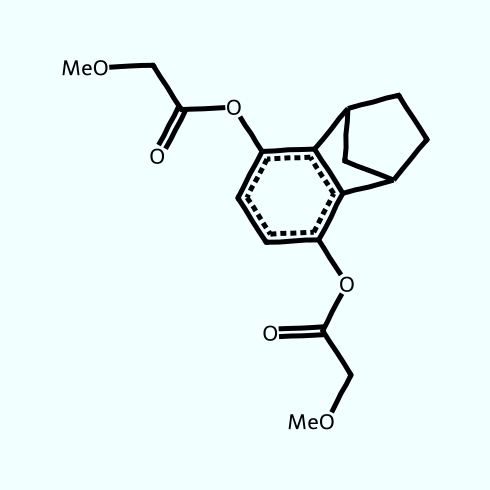 COCC(=O)Oc1ccc(OC(=O)COC)c2c1C1CCC2C1